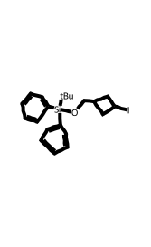 CC(C)(C)[Si](OCC1CC(I)C1)(c1ccccc1)c1ccccc1